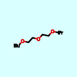 CCC(C)OCCOCCOC(C)C